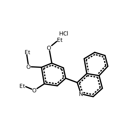 CCOc1cc(-c2nccc3ccccc23)cc(OCC)c1OCC.Cl